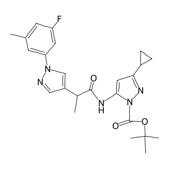 Cc1cc(F)cc(-n2cc(C(C)C(=O)Nc3cc(C4CC4)nn3C(=O)OC(C)(C)C)cn2)c1